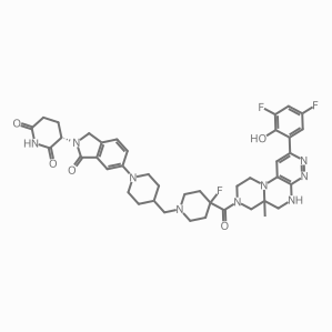 CC12CNc3nnc(-c4cc(F)cc(F)c4O)cc3N1CCN(C(=O)C1(F)CCN(CC3CCN(c4ccc5c(c4)C(=O)N([C@H]4CCC(=O)NC4=O)C5)CC3)CC1)C2